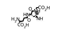 N=[SH](=O)C[C@H](NC(=O)CC[C@H](N)C(=O)O)C(=O)NCC(=O)O